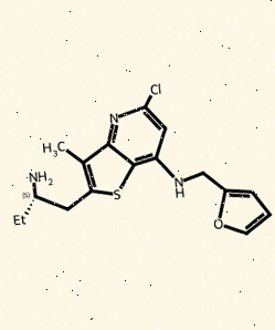 CC[C@H](N)Cc1sc2c(NCc3ccco3)cc(Cl)nc2c1C